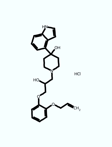 C=CCOc1ccccc1OCC(O)CN1CCC(O)(c2cccc3[nH]ccc23)CC1.Cl